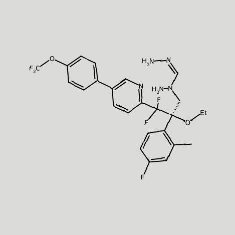 CCO[C@@](CN(N)/C=N\N)(c1ccc(F)cc1C)C(F)(F)c1ccc(-c2ccc(OC(F)(F)F)cc2)cn1